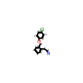 N#CCc1ccccc1COc1ccc(Cl)cc1